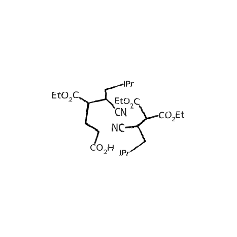 CCOC(=O)C(C(=O)OCC)C(C#N)CC(C)C.CCOC(=O)C(CCC(=O)O)C(C#N)CC(C)C